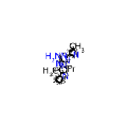 Cc1cncc(-c2nc(N)c3nc(C(C)C4C=Nc5ccccc54)n(C(C)C)c3n2)c1